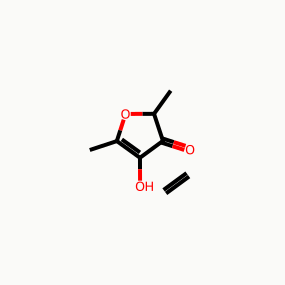 C=C.CC1=C(O)C(=O)C(C)O1